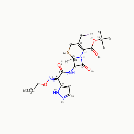 CCOC(=O)CO/N=C(/C(=O)NC1C(=O)N2C(C(=O)O[Si](C)(C)C)=C(CI)CS[C@H]12)c1ccn[nH]1